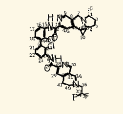 C[C@@H]1CCCCN1Cc1cnc(C(=O)Nc2cccc(-c3cccc(NC(=O)c4cc5c(cn4)CN(CC(F)F)CC5)c3Cl)c2Cl)cc1C1CC1